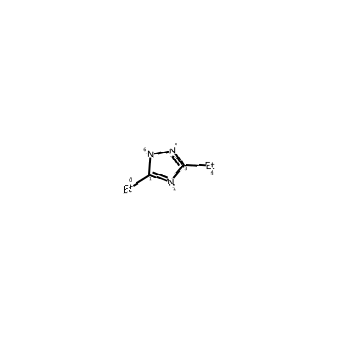 CCC1=NC(CC)=N[N]1